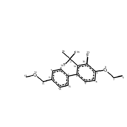 CCOc1ccc(-c2ccc(COC)cc2)c(C(C)(F)F)c1F